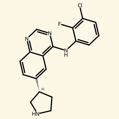 Fc1c(Cl)cccc1Nc1ncnc2ccc([C@@H]3CCNC3)cc12